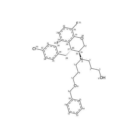 OCCCN(CCCOCc1ccccc1)[C@@H]1COc2c(F)ccc(F)c2[C@H]1Cc1ccc(Cl)cc1